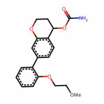 COCCOc1ccccc1-c1ccc2c(c1)OCCC2OC(N)=O